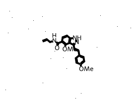 C=CCNC(=O)c1ccc2[nH]nc(/C=C/c3ccc(OC)cc3)c2c1OC